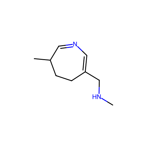 CNCC1=CN=CC(C)CC1